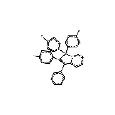 Fc1ccc(C2=C(c3ccccc3)c3cccc[n+]3[B-]2(c2ccc(F)cc2)c2ccc(F)cc2)cc1